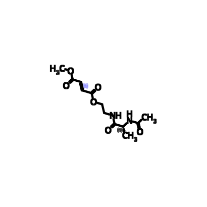 COC(=O)/C=C/C(=O)OCCNC(=O)[C@H](C)NC(C)=O